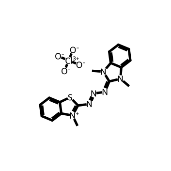 Cn1c(=NN=Nc2sc3ccccc3[n+]2C)n(C)c2ccccc21.[O-][Cl+3]([O-])([O-])[O-]